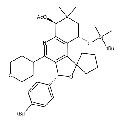 CC(=O)O[C@@H]1c2nc(C3CCOCC3)c3c(c2[C@@H](O[Si](C)(C)C(C)(C)C)CC1(C)C)C1(CCCC1)O[C@@H]3c1ccc(C(C)(C)C)cc1